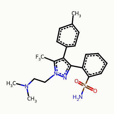 Cc1ccc(-c2c(-c3ccccc3S(N)(=O)=O)nn(CCN(C)C)c2C(F)(F)F)cc1